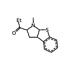 CCC(=O)C1CC2c3ccccc3SC2N1C